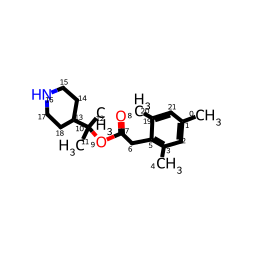 Cc1cc(C)c(CC(=O)OC(C)(C)C2CCNCC2)c(C)c1